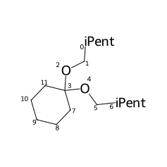 CCCC(C)COC1(OCC(C)CCC)CCCCC1